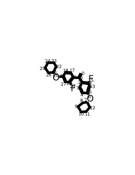 C=C(c1ccc(OC2CCCCC2)cc1F)c1ccc(OC2CCCCC2)cc1F